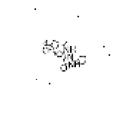 CC(NC(=O)c1cc(=O)[nH]c(-c2ccccc2)n1)c1ccc(C2(C(F)(F)F)CC2)cc1